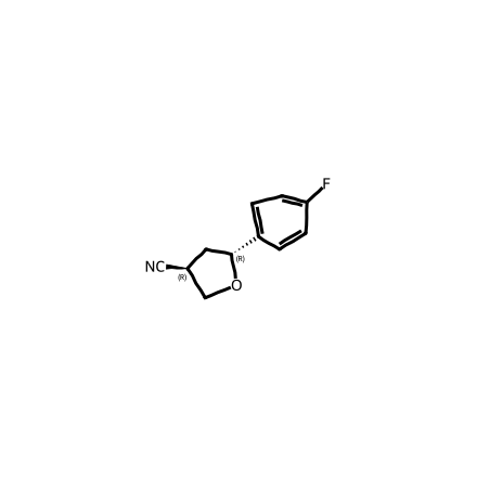 N#C[C@@H]1CO[C@@H](c2ccc(F)cc2)C1